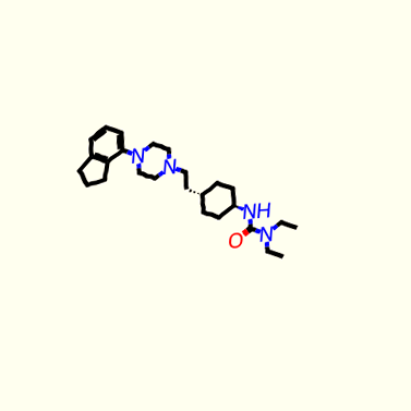 CCN(CC)C(=O)N[C@H]1CC[C@H](CCN2CCN(c3cccc4c3CCC4)CC2)CC1